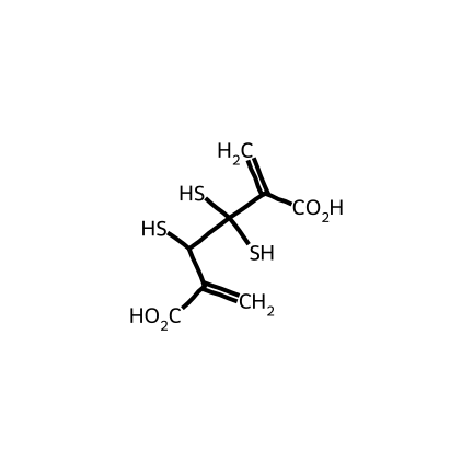 C=C(C(=O)O)C(S)C(S)(S)C(=C)C(=O)O